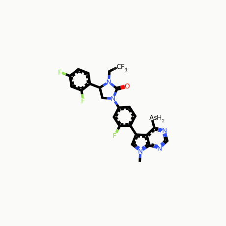 Cn1cc(-c2ccc(N3CC(c4ccc(F)cc4F)N(CC(F)(F)F)C3=O)cc2F)c2c([AsH2])ncnc21